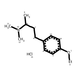 CCOc1ccc(CCC(C)N(C)C)cc1.Cl